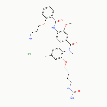 COc1cc(C(=O)N(C)c2ccc(C)cc2OCCCCNC(N)=O)ccc1NC(=O)c1ccccc1OCCCN.Cl